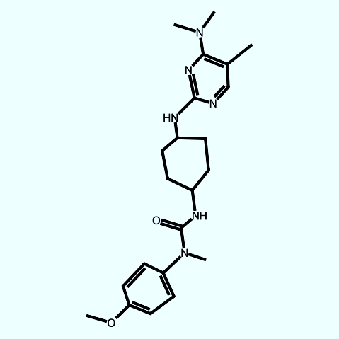 COc1ccc(N(C)C(=O)NC2CCC(Nc3ncc(C)c(N(C)C)n3)CC2)cc1